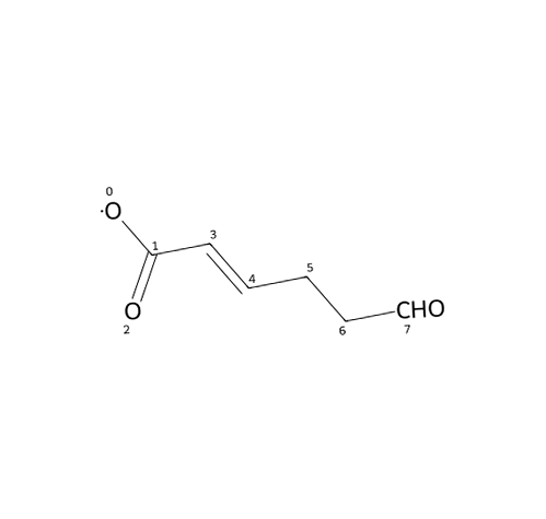 [O]C(=O)C=CCCC=O